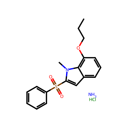 CCCOc1cccc2cc(S(=O)(=O)c3ccccc3)n(C)c12.Cl.N